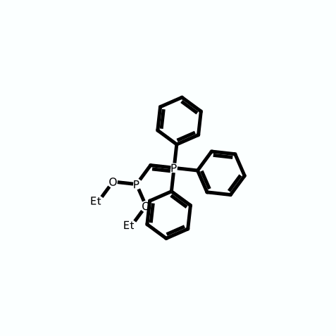 CCOP(C=P(c1ccccc1)(c1ccccc1)c1ccccc1)OCC